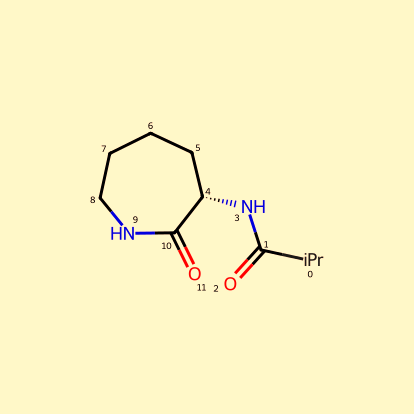 CC(C)C(=O)N[C@H]1CCCCNC1=O